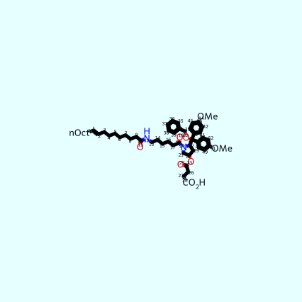 CCCCCCCCC=CCCCCCCCC(=O)NCCCCCC(=O)N1CC(OC(=O)CCC(=O)O)CC1C(OCc1ccccc1)(c1ccc(OC)cc1)c1ccc(OC)cc1